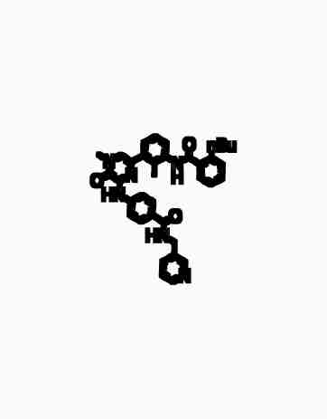 CCCCc1ccccc1C(=O)Nc1cccc(-c2cn(C)c(=O)c(Nc3ccc(C(=O)NCc4cccnc4)cc3)n2)c1C